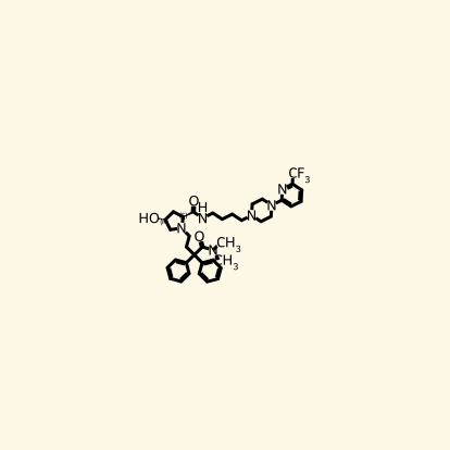 CN(C)C(=O)C(CCN1C[C@H](O)C[C@H]1C(=O)NCCCCN1CCN(c2cccc(C(F)(F)F)n2)CC1)(c1ccccc1)c1ccccc1